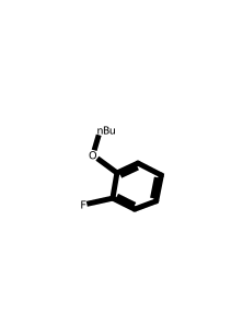 CCCCOc1ccccc1F